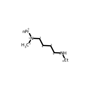 CCCN(C)CCCCNCC